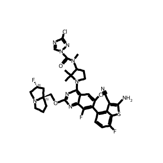 CN(C(=O)n1cnc(Cl)n1)C1CCN(c2nc(OC[C@@]34CCCN3C[C@H](F)C4)nc3c(F)c(-c4ccc(F)c5sc(N)c(C#N)c45)c(Cl)cc23)C1(C)C